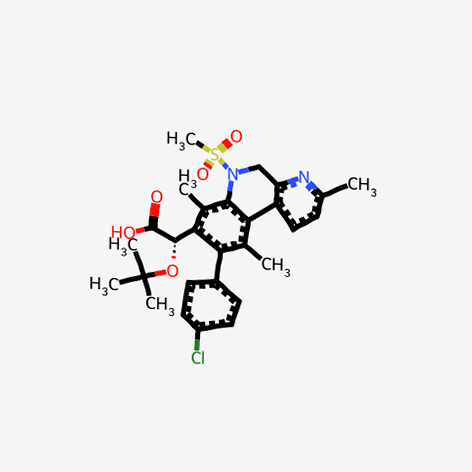 Cc1ccc2c(n1)CN(S(C)(=O)=O)c1c(C)c([C@H](OC(C)(C)C)C(=O)O)c(-c3ccc(Cl)cc3)c(C)c1-2